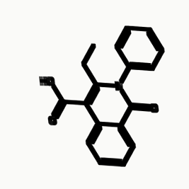 CCc1c(C(=O)O)c2ccccc2c(=O)n1-c1ccccc1